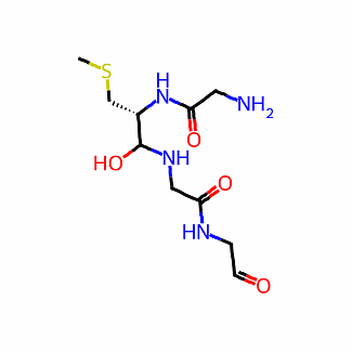 CSC[C@H](NC(=O)CN)C(O)NCC(=O)NCC=O